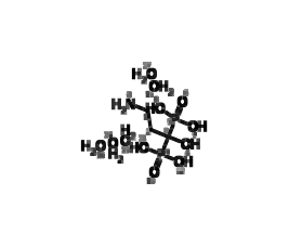 NCCC(O)(P(=O)(O)O)P(=O)(O)O.O.O.O.O.O